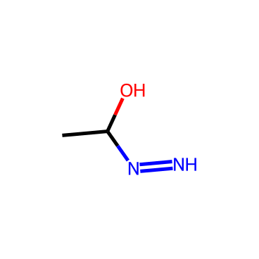 CC(O)N=N